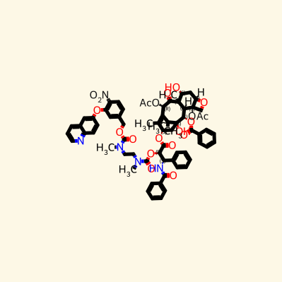 CC(=O)O[C@H]1C(=O)[C@@]2(C)[C@H]([C@H](OC(=O)c3ccccc3)[C@]3(O)C[C@H](OC(=O)[C@H](OC(=O)N(C)CCN(C)C(=O)OCc4ccc([N+](=O)[O-])c(Oc5ccc6ncccc6c5)c4)[C@@H](NC(=O)c4ccccc4)c4ccccc4)C(C)=C1C3(C)C)[C@]1(OC(C)=O)CO[C@@H]1C[C@@H]2O